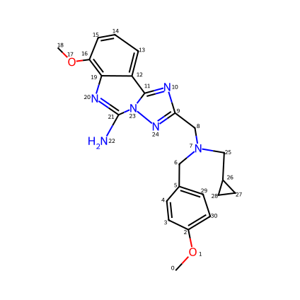 COc1ccc(CN(Cc2nc3c4cccc(OC)c4nc(N)n3n2)CC2CC2)cc1